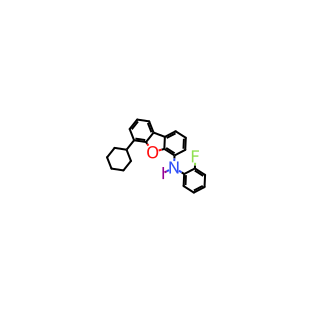 Fc1ccccc1N(I)c1cccc2c1oc1c(C3CCCCC3)cccc12